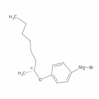 CCCCCC[C@@H](C)Oc1cc[c]([Mg][Br])cc1